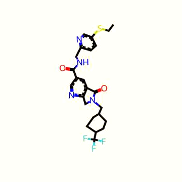 CCSc1ccc(CNC(=O)c2cnc3c(c2)C(=O)N(CC2CCC(C(F)(F)F)CC2)C3)nc1